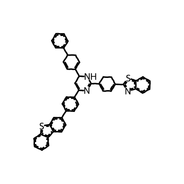 C1=CC(c2ccccc2)CC=C1C1C=C(c2ccc(-c3ccc4c(c3)sc3ccccc34)cc2)N=C(C2=CC=C(c3nc4ccccc4s3)CC2)N1